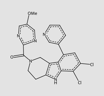 COc1cnc(C(=O)N2CCc3[nH]c4c(Cl)c(Cl)cc(-c5cccnc5)c4c3C2)nc1